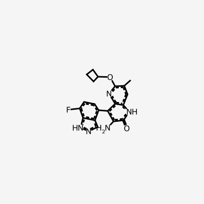 Cc1cc2[nH]c(=O)c(N)c(-c3ccc(F)c4[nH]ncc34)c2nc1OC1CCC1